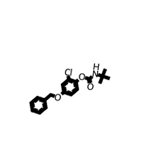 CC(C)(C)NC(=O)Oc1ccc(OCc2ccccc2)cc1Cl